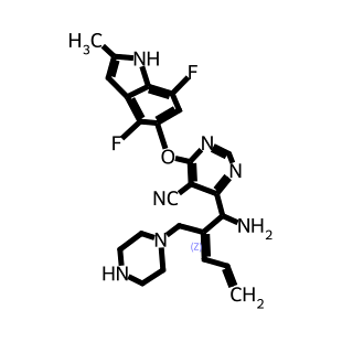 C=C/C=C(/CN1CCNCC1)C(N)c1ncnc(Oc2cc(F)c3[nH]c(C)cc3c2F)c1C#N